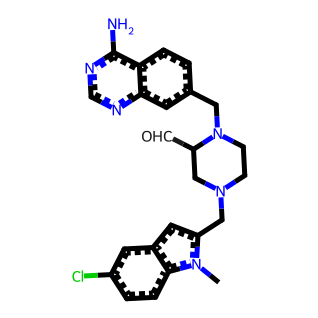 Cn1c(CN2CCN(Cc3ccc4c(N)ncnc4c3)C(C=O)C2)cc2cc(Cl)ccc21